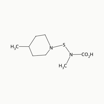 CC1CCN(SN(C)C(=O)O)CC1